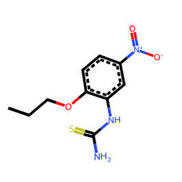 CCCOc1ccc([N+](=O)[O-])cc1NC(N)=S